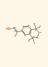 C/C(=N\O)c1ccc2c(c1)C(C)(C)CCC2(C)C